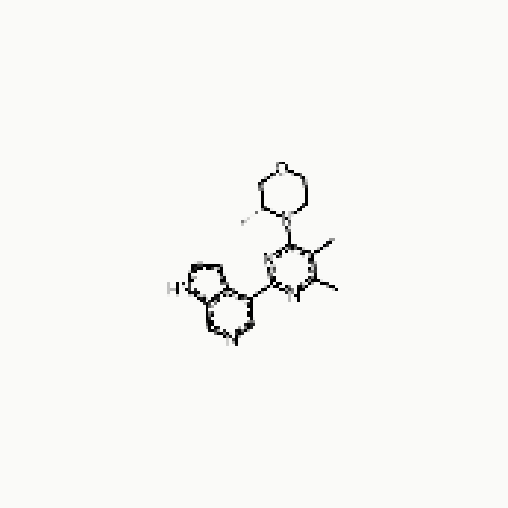 Cc1nc(-c2cncc3[nH]ccc23)nc(N2CCOC[C@H]2C)c1C